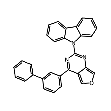 c1ccc(-c2cccc(-c3nc(-n4c5ccccc5c5ccccc54)nc4cocc34)c2)cc1